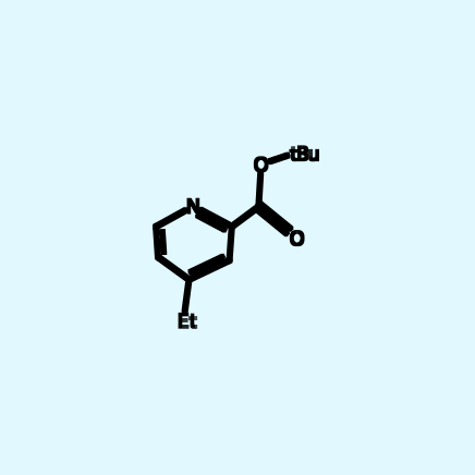 [CH2]Cc1ccnc(C(=O)OC(C)(C)C)c1